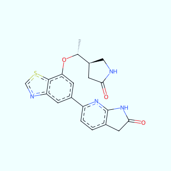 C[C@@H](Oc1cc(-c2ccc3c(n2)NC(=O)C3)cc2ncsc12)[C@H]1CNC(=O)C1